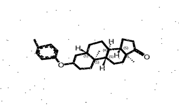 Cc1ccc(OC2CC[C@@]3(C)[C@@H](CC[C@@H]4[C@@H]3CC[C@]3(C)C(=O)CC[C@@H]43)C2)cc1